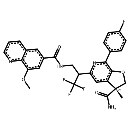 COc1cc(C(=O)NCC(c2cc3c(c(-c4ccc(F)cc4)n2)OC[C@]3(C)C(N)=O)C(F)(F)F)cc2cccnc12